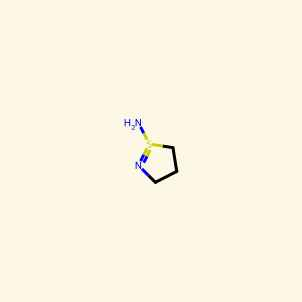 NS1=NCCC1